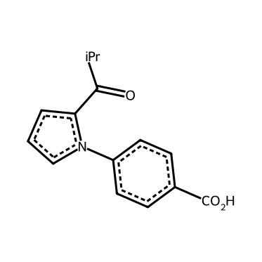 CC(C)C(=O)c1cccn1-c1ccc(C(=O)O)cc1